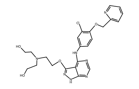 OCCN(CCO)CCOc1n[nH]c2ncnc(Nc3ccc(OCc4ccccn4)c(Cl)c3)c12